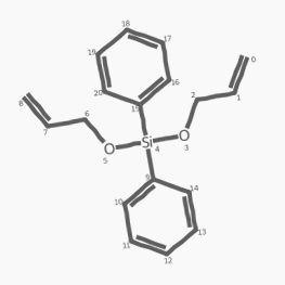 C=CCO[Si](OCC=C)(c1ccccc1)c1ccccc1